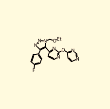 CCOCn1nnc(-c2ccc(F)cc2)c1-c1ccnc(Oc2ccncn2)n1